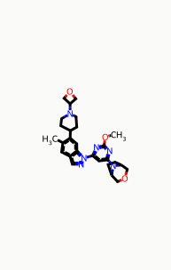 COc1nc(N2C3CCC2COC3)cc(-n2ncc3cc(C)c(C4CCN(C5COC5)CC4)cc32)n1